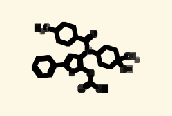 CC1CCC(C(=O)N(c2cc(-c3ccccc3)sc2OC(=O)O)C2CCC(C)(O)CC2)CC1